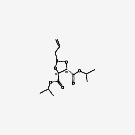 C=CCB1O[C@H](C(=O)OC(C)C)[C@@H](C(=O)OC(C)C)O1